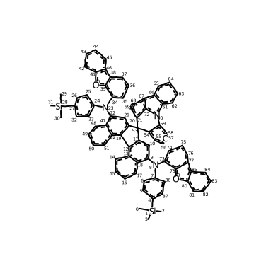 C[Si](C)(C)c1ccc(N(c2cc3c(c4ccccc24)-c2c(cc(N(c4ccc([Si](C)(C)C)cc4)c4cccc5c4oc4ccccc45)c4ccccc24)C32c3ccccc3-n3c4ccccc4c4cccc2c43)c2cccc3c2oc2ccccc23)cc1